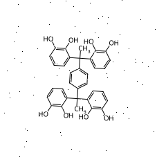 CC(c1ccc(C(C)(c2cccc(O)c2O)c2cccc(O)c2O)cc1)(c1cccc(O)c1O)c1cccc(O)c1O